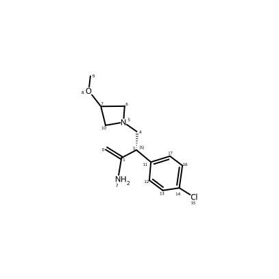 C=C(N)[C@H](CN1CC(OC)C1)c1ccc(Cl)cc1